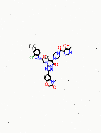 CCc1c(N2CCN(C(=O)c3ncnc(C)c3O)CC2)c(=O)n2nc(-c3ccc4c(c3)N(C)C(=O)CO4)nc2n1CC(=O)Nc1ccc(C(F)(F)F)cc1Cl